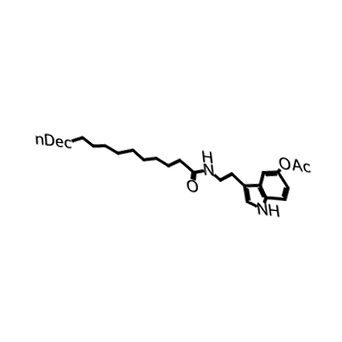 CCCCCCCCCCCCCCCCCCCC(=O)NCCc1c[nH]c2ccc(OC(C)=O)cc12